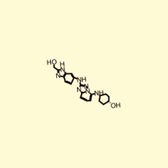 OCc1nc2ccc(Nc3nc4cccc(N[C@H]5CC[C@@H](O)CC5)n4n3)cc2[nH]1